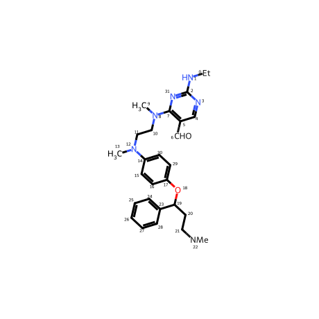 CCNc1ncc(C=O)c(N(C)CCN(C)c2ccc(OC(CCNC)c3ccccc3)cc2)n1